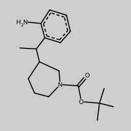 CC(c1ccccc1N)C1CCCN(C(=O)OC(C)(C)C)C1